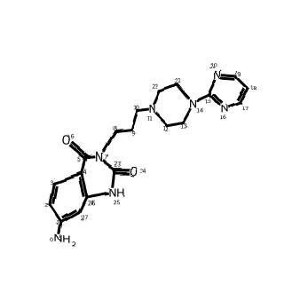 Nc1ccc2c(=O)n(CCCN3CCN(c4ncccn4)CC3)c(=O)[nH]c2c1